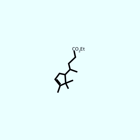 CCOC(=O)CCC(C)C1CC=C(C)C1(C)C